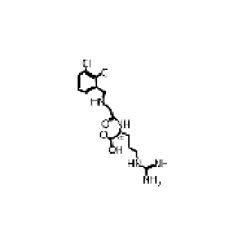 N=C(N)NCCC[C@H](NC(=O)CNCc1cccc(Cl)c1Cl)C(=O)O